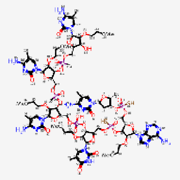 CC[C@H]1O[C@@H](n2cc(C)c(N)nc2=O)C[C@H]1OP(=O)(S)OC[C@H]1O[C@@H](n2cnc3c(N)ncnc32)C(OCCOC)[C@H]1OP(=O)(S)OC[C@H]1O[C@@H](n2cc(C)c(=O)[nH]c2=O)C(OCCOC)[C@H]1OP(=O)(O)OC[C@H]1O[C@@H](n2cc(C)c(N)nc2=O)C(OCCOC)[C@H]1OP(C)(=O)OC[C@H]1O[C@@H](n2cc(C)c(N)nc2=O)C(OCCOC)[C@H]1OP(C)(=O)OC[C@H]1O[C@@H](n2cc(C)c(N)nc2=O)C(OCCOC)[C@H]1O